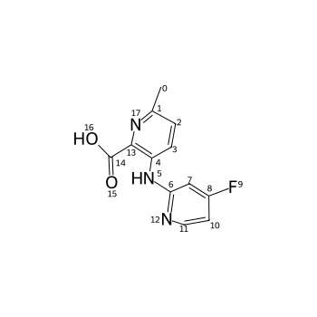 Cc1ccc(Nc2cc(F)ccn2)c(C(=O)O)n1